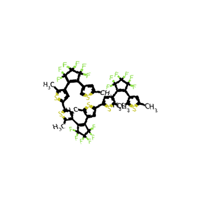 Cc1cc(C2=C(c3cc(-c4cc(C5=C(c6cc(-c7cc(C8=C(c9cc(C)sc9C)C(F)(F)C(F)(F)C8(F)F)c(C)s7)sc6C)C(F)(F)C(F)(F)C5(F)F)c(C)s4)sc3C)C(F)(F)C(F)(F)C2(F)F)cs1